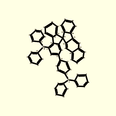 c1ccc(N(c2ccccc2)c2ccc(-c3cc(N(c4ccccc4)c4ccccc4)c4c(c3)C3(c5ccccc5-c5cc6ccccc6cc53)c3ccccc3-4)cc2)cc1